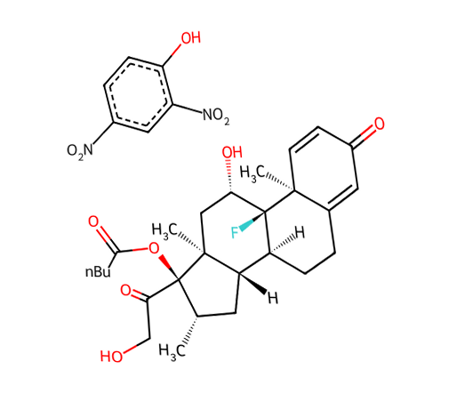 CCCCC(=O)O[C@]1(C(=O)CO)[C@@H](C)C[C@H]2[C@@H]3CCC4=CC(=O)C=C[C@]4(C)[C@@]3(F)[C@@H](O)C[C@@]21C.O=[N+]([O-])c1ccc(O)c([N+](=O)[O-])c1